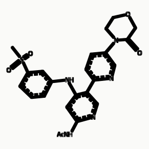 CC(=O)Nc1cc(Nc2cccc(S(C)(=O)=O)c2)c(-c2ccc(N3CCOCC3=O)cn2)cn1